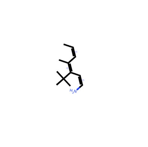 C\C=C/C(C)=C(\C=C/N)C(C)(C)C